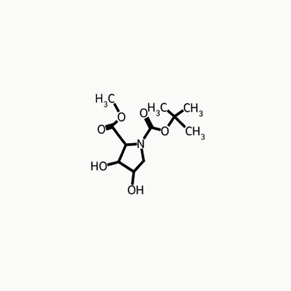 COC(=O)C1C(O)C(O)CN1C(=O)OC(C)(C)C